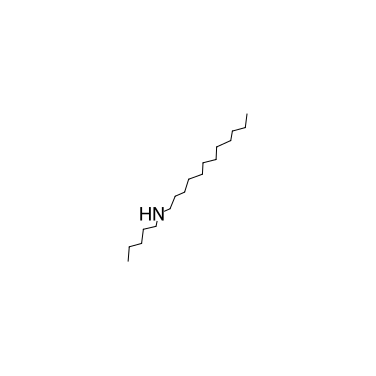 CCCCCCCCCCCCNCCCCC